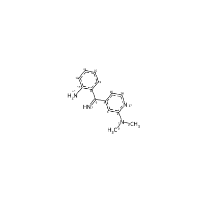 CN(C)c1cc(C(=N)c2ccccc2N)ccn1